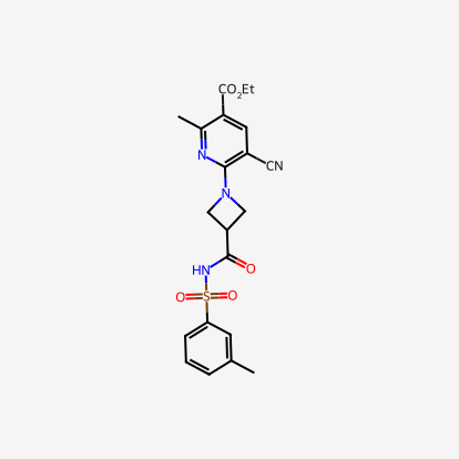 CCOC(=O)c1cc(C#N)c(N2CC(C(=O)NS(=O)(=O)c3cccc(C)c3)C2)nc1C